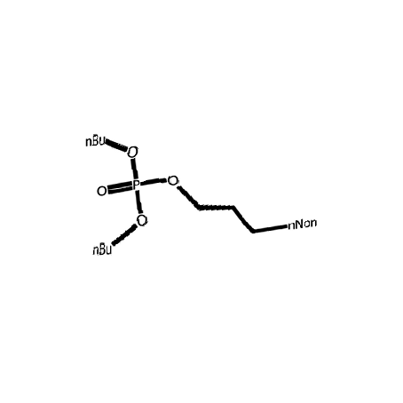 CCCCCCCCCCCCOP(=O)(OCCCC)OCCCC